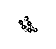 c1ccc(-c2ccc3c(c2)B2c4cc(-c5ccccn5)ccc4Oc4c(-c5ccccn5)ccc(c42)O3)nc1